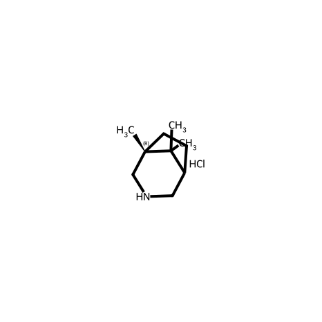 CC1(C)C2CC[C@@]1(C)CNC2.Cl